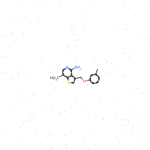 Cc1cccc(OCc2csc3c(C(=O)O)cnc(N)c23)c1